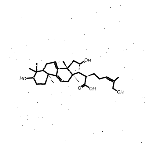 CC(=CCC[C@@H](C(=O)O)[C@H]1C(O)C[C@@]2(C)C3=CCC4C(C)(C)C(O)CC[C@]4(C)C3=CC[C@]12C)CO